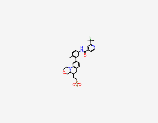 Cc1ccc(NC(=O)c2ccnc(C(C)(C)F)c2)cc1-c1ccc2c(c1)N1CCOCC1C(CC[SH](=O)=O)C2